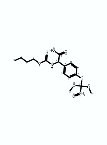 CCCCOC(=O)NC(C(=O)O)c1ccc(OC(OC)(OC)[PH2]=O)cc1